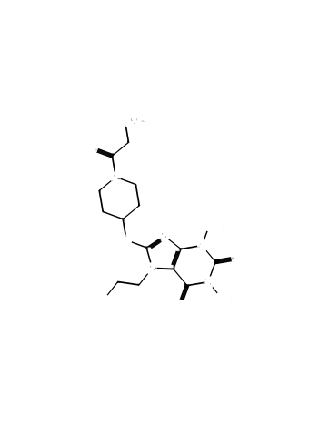 COCC(=O)N1CCC(Oc2nc3c(c(=O)n(C)c(=O)n3C)n2CCC(C)C)CC1